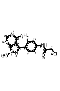 CC(C)(C)n1nc(-c2ccc(NC(=O)CCl)cc2)c2c(N)ncnc21